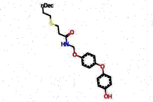 CCCCCCCCCCCCSCCC(=O)NCOc1ccc(Oc2ccc(O)cc2)cc1